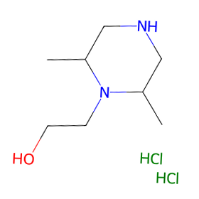 CC1CNCC(C)N1CCO.Cl.Cl